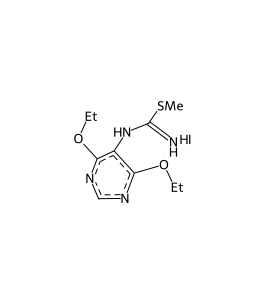 CCOc1ncnc(OCC)c1NC(=N)SC.I